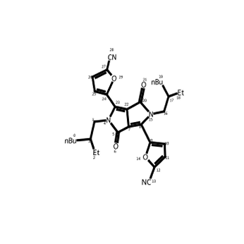 CCCCC(CC)CN1C(=O)C2=C(c3ccc(C#N)o3)N(CC(CC)CCCC)C(=O)C2=C1c1ccc(C#N)o1